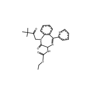 CCOC(=O)NC1N=C(c2ccccn2)c2ccccc2N(CC(=O)C(C)(C)C)C1=O